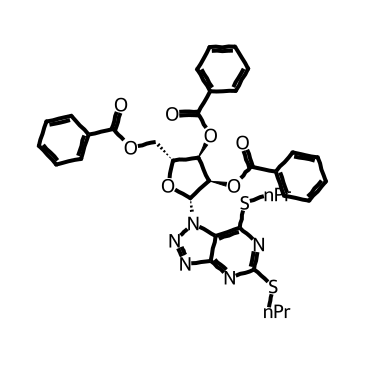 CCCSc1nc(SCCC)c2c(nnn2[C@@H]2O[C@H](COC(=O)c3ccccc3)[C@@H](OC(=O)c3ccccc3)[C@H]2OC(=O)c2ccccc2)n1